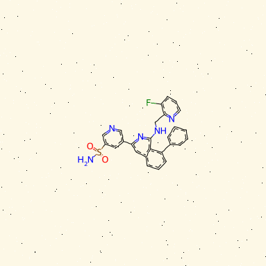 NS(=O)(=O)c1cncc(-c2cc3cccc(-c4ccccc4)c3c(NCc3ncccc3F)n2)c1